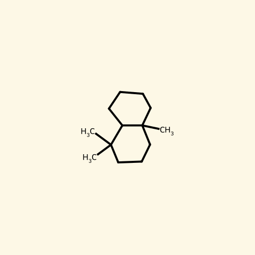 CC1(C)CCCC2(C)CCCCC12